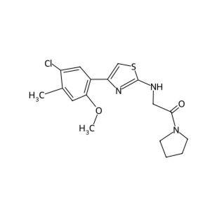 COc1cc(C)c(Cl)cc1-c1csc(NCC(=O)N2CCCC2)n1